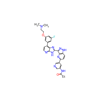 CCC(=O)Nc1cncc(-c2ccc3[nH]nc(-c4nc5c(-c6cc(F)cc(OCCN(C)C)c6)ccnc5[nH]4)c3n2)c1